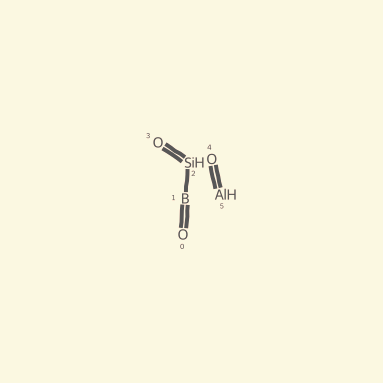 O=B[SiH]=O.[O]=[AlH]